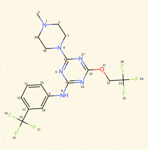 CN1CCN(c2nc(Nc3cccc(C(F)(F)F)c3)nc(OCC(F)(F)F)n2)CC1